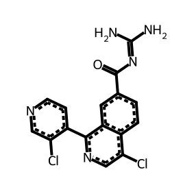 NC(N)=NC(=O)c1ccc2c(Cl)cnc(-c3ccncc3Cl)c2c1